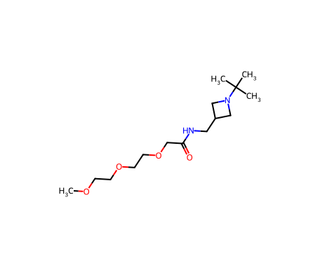 COCCOCCOCC(=O)NCC1CN(C(C)(C)C)C1